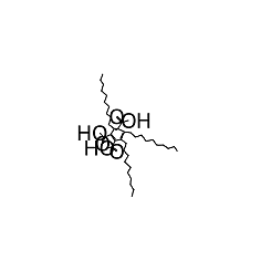 CCCCCCCCCCc1c(CCCCCCCCCC)c(C(=O)O)c(C(=O)O)c(CCCCCCCCCC)c1C(=O)O